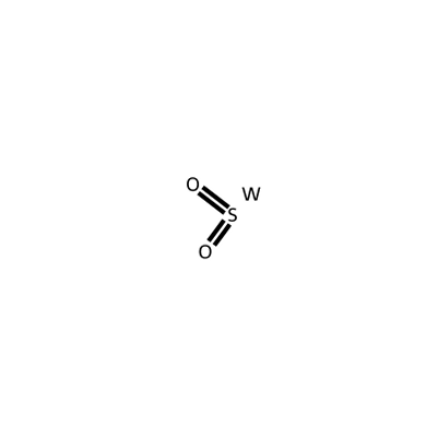 O=S=O.[W]